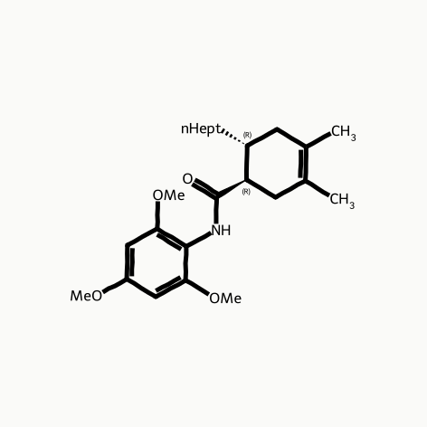 CCCCCCC[C@@H]1CC(C)=C(C)C[C@H]1C(=O)Nc1c(OC)cc(OC)cc1OC